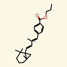 CCCOC(=O)c1ccc(/C=C(\C)C=CC23CC2(C)CCCC3(C)C)cc1